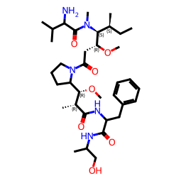 CC[C@H](C)[C@@H]([C@@H](CC(=O)N1CCCC1[C@H](OC)[C@@H](C)C(=O)NC(Cc1ccccc1)C(=O)NC(C)CO)OC)N(C)C(=O)C(N)C(C)C